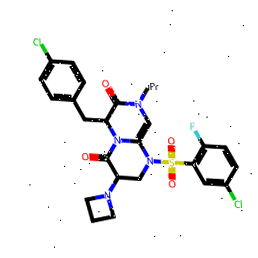 CC(C)N1C=C2N(C(=O)C(N3CCC3)CN2S(=O)(=O)c2cc(Cl)ccc2F)C(Cc2ccc(Cl)cc2)C1=O